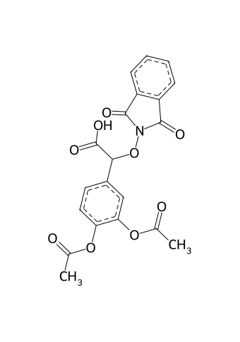 CC(=O)Oc1ccc(C(ON2C(=O)c3ccccc3C2=O)C(=O)O)cc1OC(C)=O